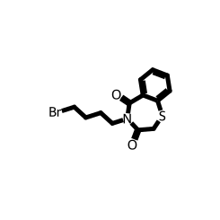 O=C1CSc2ccccc2C(=O)N1CCCCBr